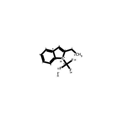 CCc1cc2ccccc2[s+]1C(F)(F)F.[I-]